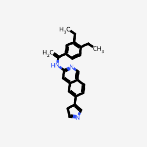 C=C(Nc1cc2cc(C3=CN=CC3)ccc2cn1)c1ccc(CC)c(CC)c1